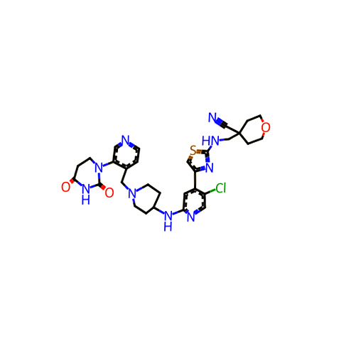 N#CC1(CNc2nc(-c3cc(NC4CCN(Cc5ccncc5N5CCC(=O)NC5=O)CC4)ncc3Cl)cs2)CCOCC1